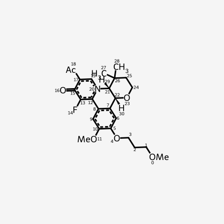 COCCCOc1cc2c(cc1OC)-c1c(F)c(=O)c(C(C)=O)cn1[C@H]1[C@@H]2OCCC1(C)C